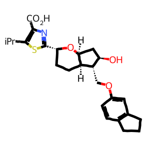 CC(C)c1sc([C@H]2CC[C@@H]3[C@@H](COc4ccc5c(c4)CCC5)[C@H](O)C[C@@H]3O2)nc1C(=O)O